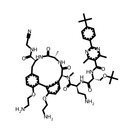 Cc1nc(-c2ccc(C(C)(C)C)cc2)nc(C)c1C(=O)N[C@H](COC(C)(C)C)C(=O)N[C@@H](CCN)C(=O)N(C)[C@@H]1C(=O)N[C@@H](C)C(=O)N[C@H](C(=O)NCC#N)Cc2ccc(OCCN)c(c2)-c2cc1ccc2OCCN